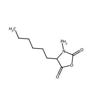 CCCCCCC1C(=O)OC(=O)N1P